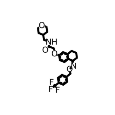 O=C(COc1ccc2c(c1)CCC/C2=N/OCc1ccc(C(F)(F)F)cc1)NCC1CCOCC1